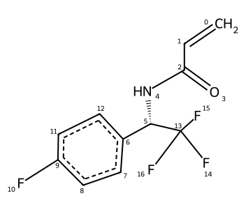 C=CC(=O)N[C@@H](c1ccc(F)cc1)C(F)(F)F